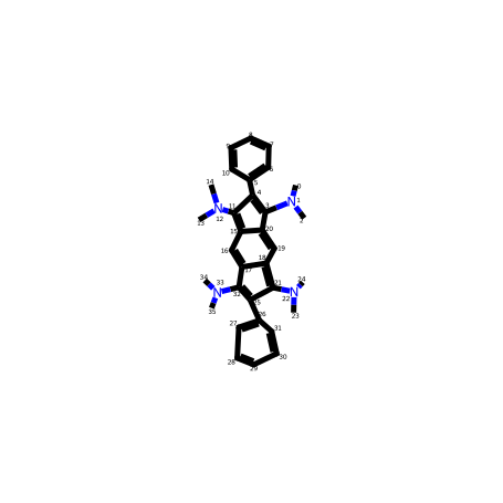 CN(C)C1=C(c2ccccc2)C(N(C)C)=c2cc3c(cc21)=C(N(C)C)C(c1ccccc1)=C3N(C)C